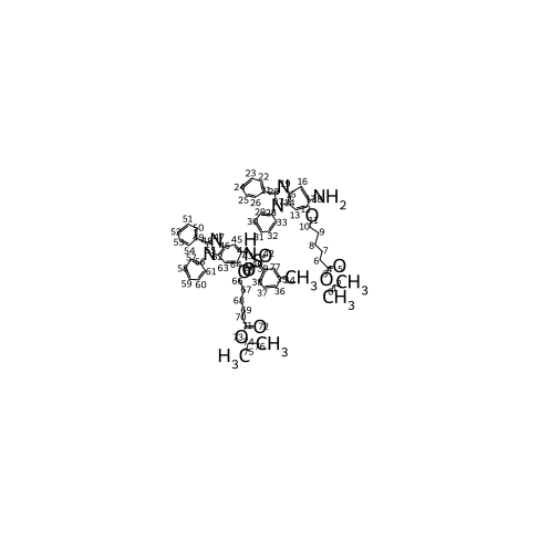 CC(C)OC(=O)CCCCCOc1cc2c(cc1N)nc(-c1ccccc1)n2-c1ccccc1.Cc1cccc(S(=O)(=O)Nc2cc3nc(-c4ccccc4)n(-c4ccccc4)c3cc2OCCCCCC(=O)OC(C)C)c1